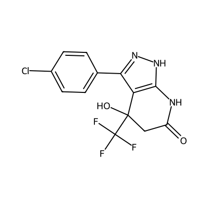 O=C1CC(O)(C(F)(F)F)c2c(-c3ccc(Cl)cc3)n[nH]c2N1